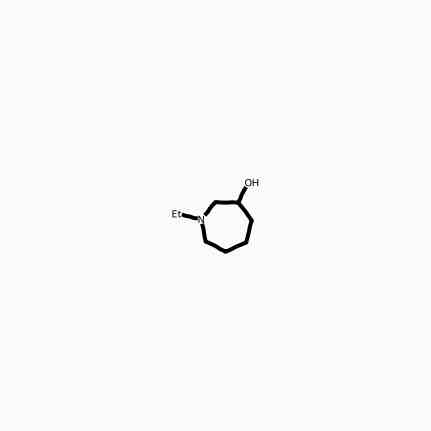 CCN1CCCCC(O)C1